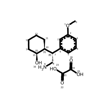 COc1cccc([C@H](CN)[C@@H]2CCCC[C@@H]2O)c1.O=C(O)C(=O)O